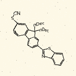 CCCCCCCCCCC1(CCCCCCCCCC)c2cc(SC#N)ccc2-c2ccc(-c3nc4ccccc4s3)cc21